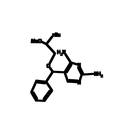 CCCCC(COC(c1ccccc1)c1cnc(N)nc1N)OC